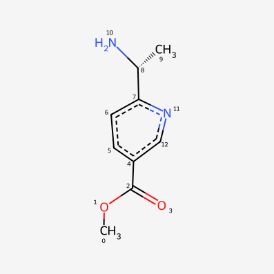 COC(=O)c1ccc([C@@H](C)N)nc1